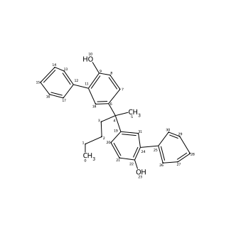 CCCCC(C)(c1ccc(O)c(-c2ccccc2)c1)c1ccc(O)c(-c2ccccc2)c1